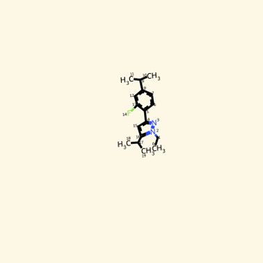 CCn1nc(-c2ccc(C(C)C)cc2F)cc1C(C)C